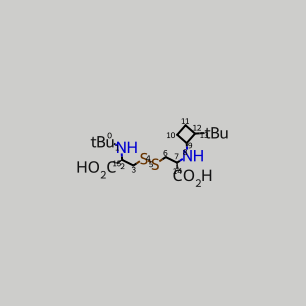 CC(C)(C)N[C@@H](CSSC[C@@H](NC1CCC1C(C)(C)C)C(=O)O)C(=O)O